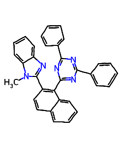 Cn1c(-c2ccc3ccccc3c2-c2nc(-c3ccccc3)nc(-c3ccccc3)n2)nc2ccccc21